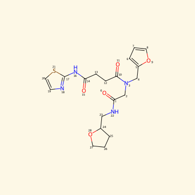 O=C(CN(Cc1ccco1)C(=O)CCC(=O)Nc1nccs1)NCC1CCCO1